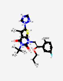 COc1ccc(F)cc1[C@H](Cn1c(=O)n(C(C)(C)C(C)=O)c(=O)c2c(C)c(-n3cncn3)sc21)OCCC#N